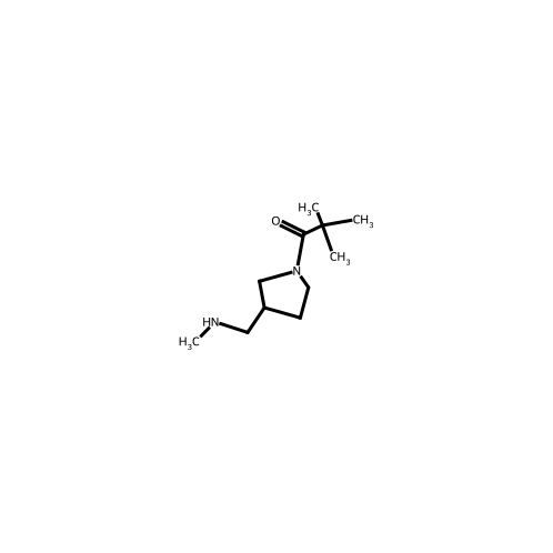 CNCC1CCN(C(=O)C(C)(C)C)C1